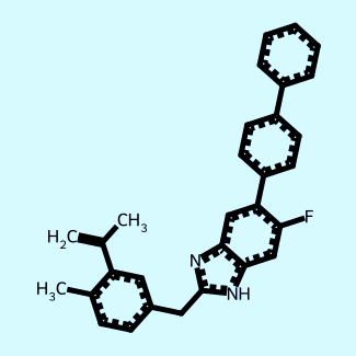 C=C(C)c1cc(Cc2nc3cc(-c4ccc(-c5ccccc5)cc4)c(F)cc3[nH]2)ccc1C